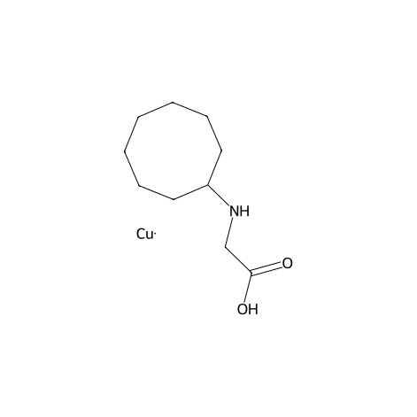 O=C(O)CNC1CCCCCCC1.[Cu]